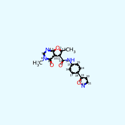 Cc1oc2ncn(C)c(=O)c2c1C(=O)Nc1ccc(-c2ccno2)cc1